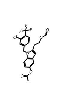 CC(=O)Oc1ccc2c(c1)cc(CCOC=O)n2Cc1ccc(C(F)(F)F)c(Cl)c1